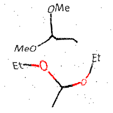 CCOC(C)OCC.COC(C)OC